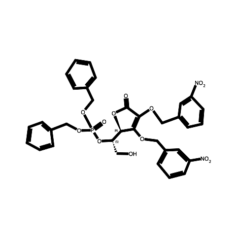 O=C1O[C@H]([C@H](CO)OP(=O)(OCc2ccccc2)OCc2ccccc2)C(OCc2cccc([N+](=O)[O-])c2)=C1OCc1cccc([N+](=O)[O-])c1